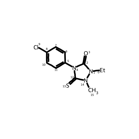 CCn1c(=O)n(-c2ccc(Cl)cc2)c(=S)n1C